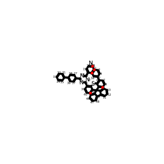 N#Cc1ccc(-c2cccc3c2Sc2c(-c4nc(-c5ccccc5)nc(-c5ccc(-c6ccccc6)cc5)n4)cccc2C32c3ccccc3-c3ccccc32)cc1